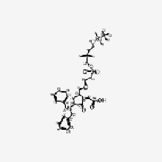 CC(C)(CCO[Si](C)(C)C(C)(C)C)COS(=O)(=O)CCOC[C@@H]1C[C@H](N(Cc2ccccc2)Cc2ccccc2)C(=O)N1CC(=O)O